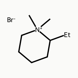 CCC1CCCC[N+]1(C)C.[Br-]